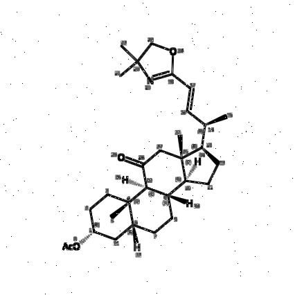 CC(=O)O[C@@H]1CC[C@@]2(C)[C@H](CC[C@H]3[C@@H]4CC[C@H]([C@H](C)C=CC5=NC(C)(C)CO5)[C@@]4(C)CC(=O)[C@@H]32)C1